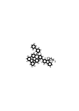 CC1(C)c2ccccc2-c2ccc(-c3ccc(N(c4cccc(-c5ccccc5)c4)c4cccc5c4-c4ccccc4C54c5ccccc5-c5ccccc54)cc3)cc21